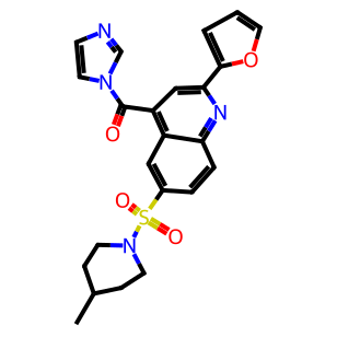 CC1CCN(S(=O)(=O)c2ccc3nc(-c4ccco4)cc(C(=O)n4ccnc4)c3c2)CC1